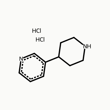 Cl.Cl.c1cncc(C2CCNCC2)c1